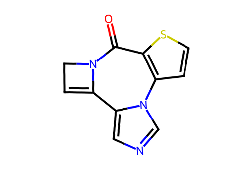 O=C1c2sccc2-n2cncc2C2=CCN12